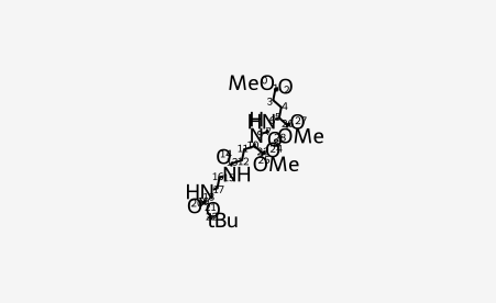 COC(=O)CCC(NC(=O)NC(CCC(=O)NCCNC(=O)OC(C)(C)C)C(=O)OC)C(=O)OC